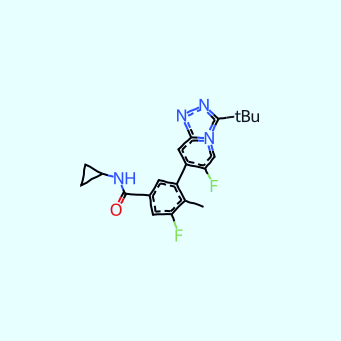 Cc1c(F)cc(C(=O)NC2CC2)cc1-c1cc2nnc(C(C)(C)C)n2cc1F